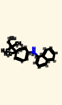 CC(C)(C)CC(C)(C)C1(C)C=CC=C(Nc2cccc3ccccc23)C=C1